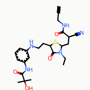 C#CCNC(=O)C(C#N)CC1SC(CCNc2cccc(NC(=O)C(C)(C)O)c2)C(=O)N1CC